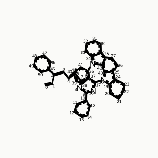 C=C/C(=C\C=C(/C)c1nc(-c2ccccc2)nc(-n2c3ccccc3c3ccc4c5ccccc5n(-c5ccccc5)c4c32)n1)c1ccccc1